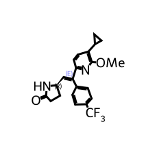 COc1nc(/C(=C/[C@H]2CCC(=O)N2)c2ccc(C(F)(F)F)cc2)ccc1C1CC1